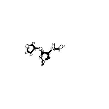 Cn1cc(NC=O)c(OC2CCOC2)n1